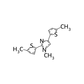 Cc1ccc(-c2cn(C)c(-c3ccc(C)s3)n2)s1